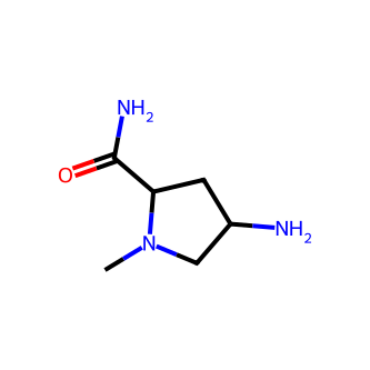 CN1CC(N)CC1C(N)=O